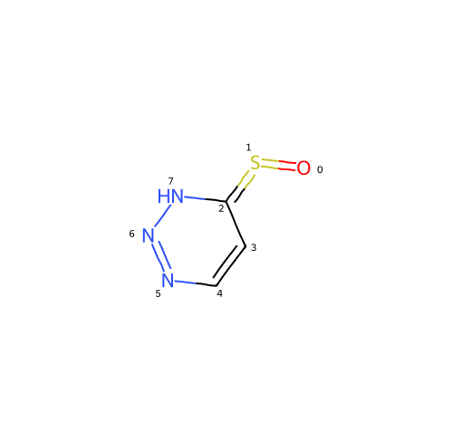 O=S=c1ccnn[nH]1